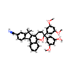 COc1cc(OC)cc(C2(c3cc(OC)cc(OC)c3)C=Cc3c4c(c5ccccc5c3O2)-c2ccc(C#N)cc2C4(C)C)c1